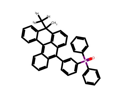 [2H]C([2H])([2H])C1(C)c2ccccc2-c2c3ccccc3c(-c3cccc(P(=O)(c4ccccc4)c4ccccc4)c3)c3cccc1c23